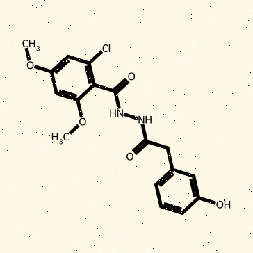 COc1cc(Cl)c(C(=O)NNC(=O)Cc2cccc(O)c2)c(OC)c1